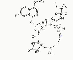 COc1cnc(O[C@@H]2C[C@H]3C(=O)N[C@]4(C(=O)NS(=O)(=O)C5(CF)CC5)C[C@H]4/C=C\CC[C@H](C)C[C@@H](C)[C@H](NC(=O)O)C(=O)N3C2)c2cc(F)ccc12